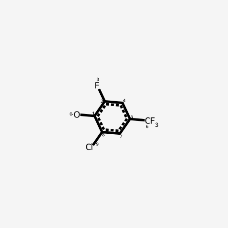 [O]c1c(F)cc(C(F)(F)F)cc1Cl